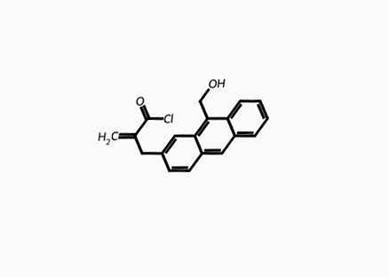 C=C(Cc1ccc2cc3ccccc3c(CO)c2c1)C(=O)Cl